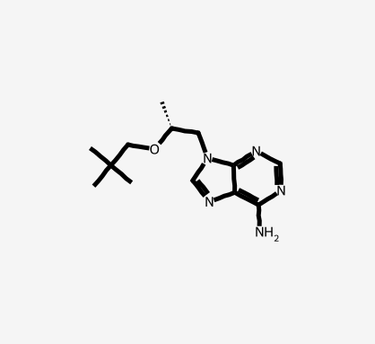 C[C@H](Cn1cnc2c(N)ncnc21)OCC(C)(C)C